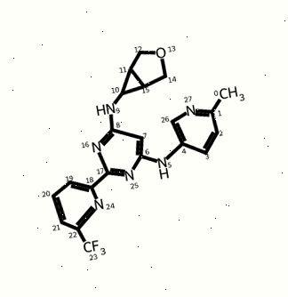 Cc1ccc(Nc2cc(NC3C4COCC43)nc(-c3cccc(C(F)(F)F)n3)n2)cn1